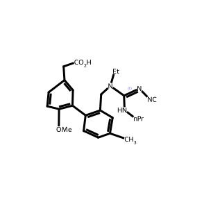 [C-]#[N+]/N=C(\NCCC)N(CC)Cc1cc(C)ccc1-c1cc(CC(=O)O)ccc1OC